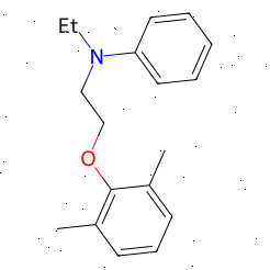 CCN(CCOc1c(C)cccc1C)c1ccccc1